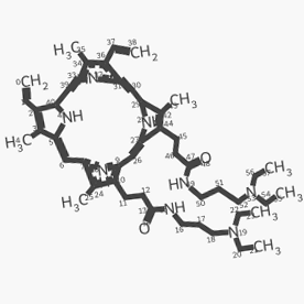 C=CC1=C(C)/C2=C/c3[nH]c(c(CCC(=O)NCCCN(CC)CC)c3C)/C=C3\NC(/C=c4\[nH]/c(c(C)c4C=C)=C\C1N2)C(C)=C3CCC(=O)NCCCN(CC)CC